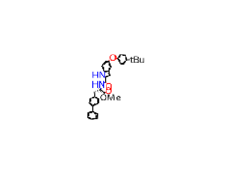 COC(=O)[C@H](Cc1ccc(-c2ccccc2)cc1)NC(=O)c1cc2cc(Oc3ccc(C(C)(C)C)cc3)ccc2[nH]1